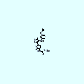 Cc1nc(-c2onc(C)c2Nc2cncc(OC3CC3)n2)ccc1NC(=O)OC(C)(C)C